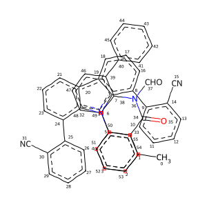 Cc1cccc(-n2c3c(-c4ccccc4C#N)cccc3c3cccc(-c4ccccc4C#N)c32)c1C(=O)N(C=O)c1c(-c2ccccc2)cccc1-c1ccccc1